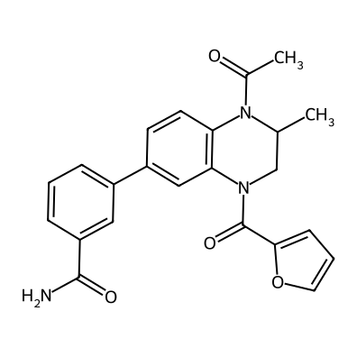 CC(=O)N1c2ccc(-c3cccc(C(N)=O)c3)cc2N(C(=O)c2ccco2)CC1C